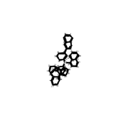 C1=C(c2ccc3ccccc3c2)C=C(N(c2ccc3c(c2)-c2c4cccc2-c2cccc-3c2-c2ccccc2-4)c2cccc3ccccc23)CC1